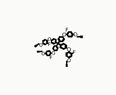 C#CCOc1ccc(Oc2ccc(C(c3ccc(Oc4ccc(OCC#C)cc4F)cc3)(c3ccc(Oc4ccc(OCC#C)cc4F)cc3)c3ccc(Oc4ccc(OCC#C)cc4F)cc3)cc2)c(F)c1